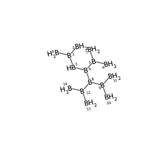 BB(B)BB(B(B)B)B(B(B)B)B(B)B